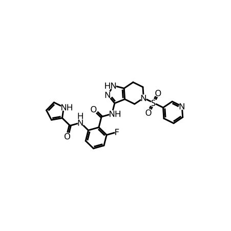 O=C(Nc1cccc(F)c1C(=O)Nc1n[nH]c2c1CN(S(=O)(=O)c1cccnc1)CC2)c1ccc[nH]1